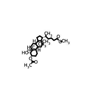 COC(=O)CCCC(C)[C@H]1CC[C@@]2(C)[C@@H]3CC[C@H]4[C@@H](O)[C@@H](OC(C)=O)CC[C@]4(C)[C@H]3CC[C@]12C